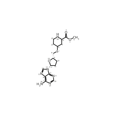 COC(=O)C1CC(SC[C@@H]2CC[C@H](n3cnc4c(N)ncnc43)O2)CCN1